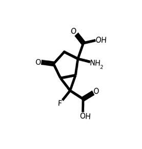 NC1(C(=O)O)CC(=O)C2C1C2(F)C(=O)O